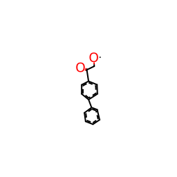 [O]CC(=O)c1ccc(-c2ccccc2)cc1